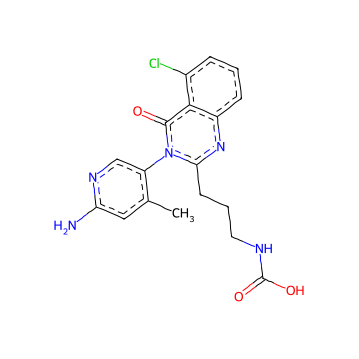 Cc1cc(N)ncc1-n1c(CCCNC(=O)O)nc2cccc(Cl)c2c1=O